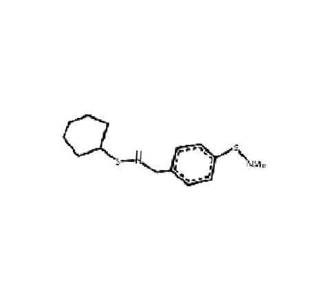 CNSc1ccc(CNSC2CCCCC2)cc1